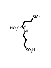 CSCC[C@@H](NCCCS(=O)(=O)O)C(=O)O